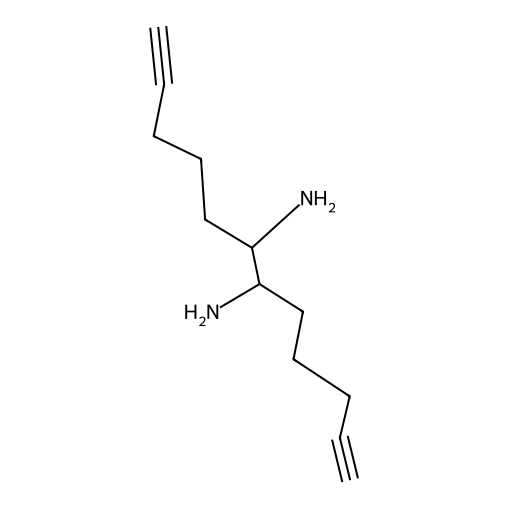 C#CCCCC(N)C(N)CCCC#C